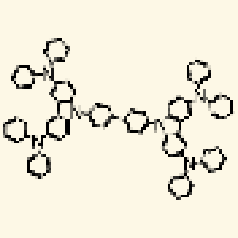 C1=CC(N(c2ccccc2)c2ccc3c(c2)c2cc(N(c4ccccc4)c4ccccc4)ccc2n3-c2ccc(-c3ccc(-n4c5ccc(N(C6=CCCC=C6)c6ccccc6)cc5c5cc(N(c6ccccc6)c6ccccc6)ccc54)cc3)cc2)=CCC1